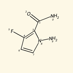 NC(=O)c1c(F)ccn1N